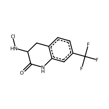 O=C1Nc2cc(C(F)(F)F)ccc2CC1NCl